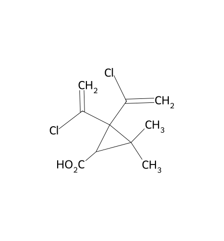 C=C(Cl)C1(C(=C)Cl)C(C(=O)O)C1(C)C